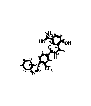 CC(NC(=O)c1ccc(-n2cnc3c2CCCC3)c(C(F)(F)F)c1)c1cc(C(=N)N)ccc1O